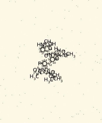 CC1COCCN1C[C@H]1CN(C(=O)OC(C)(C)C)CCN1.COC(=O)CNC(=O)C1(C)CN(C(=O)Cc2cccc3c2C(C(=O)O)[C@@H](C)N3)c2cc(Cc3ccc(F)cc3)ccc21